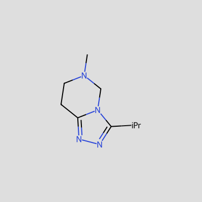 CC(C)c1nnc2n1CN(C)CC2